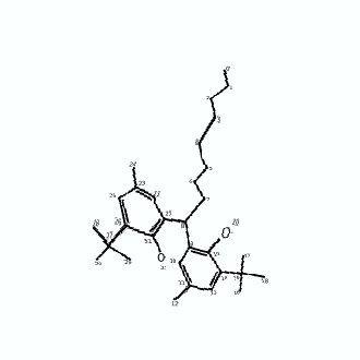 CCCCCCCCC(c1cc(C)cc(C(C)(C)C)c1[O])c1cc(C)cc(C(C)(C)C)c1[O]